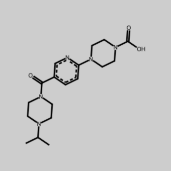 CC(C)N1CCN(C(=O)c2ccc(N3CCN(C(=O)O)CC3)nc2)CC1